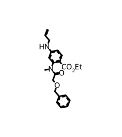 C=CCNc1ccc(C(=O)OCC)c(N(C)C(=O)COCc2ccccc2)c1